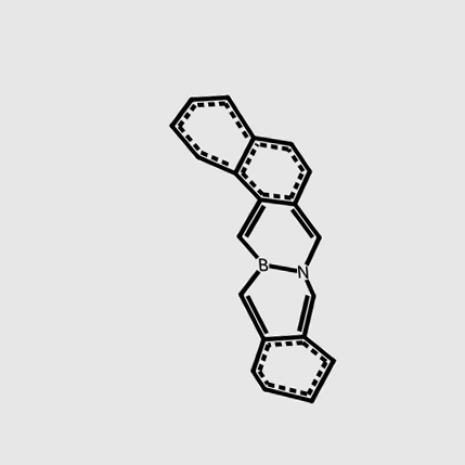 C1=c2ccccc2=CN2C=c3ccc4ccccc4c3=CB12